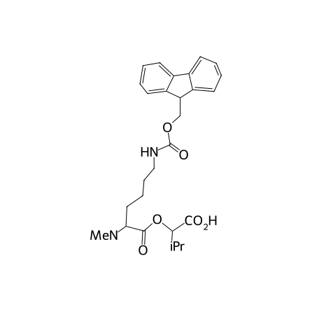 CNC(CCCCNC(=O)OCC1c2ccccc2-c2ccccc21)C(=O)OC(C(=O)O)C(C)C